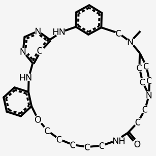 CN1Cc2cccc(c2)Nc2cc(ncn2)Nc2ccccc2OCCCCCNC(=O)CCN2CCC1CC2